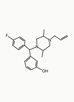 C=CCN1CC(C)N(C(c2ccc(F)cc2)c2cccc(O)c2)CC1C